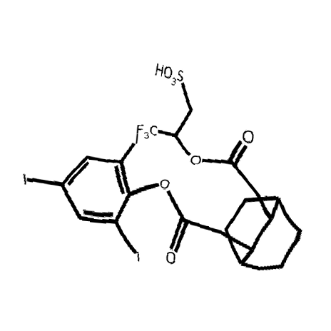 O=C(Oc1c(I)cc(I)cc1I)C1C2CCC(CC2)C1C(=O)OC(CS(=O)(=O)O)C(F)(F)F